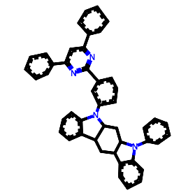 c1ccc(-c2cc(-c3ccccc3)nc(-c3cccc(N4c5ccccc5C5CC6c7ccccc7N(c7ccccc7)C6CC54)c3)n2)cc1